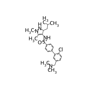 CC1=C(N[S+]([O-])c2ccc(-c3cc(CN(C)C)ccc3Cl)cc2)C(CC(C)C)NN1C